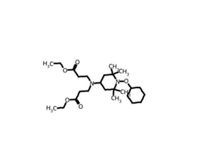 CCOC(=O)CCN(CCC(=O)OCC)C1CC(C)(C)N(OC2CCCCC2)C(C)(C)C1